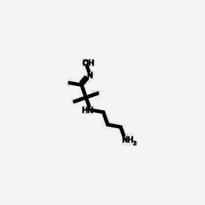 C/C(=N\O)C(C)(C)NCCCN